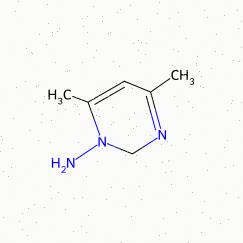 CC1=CC(C)=NCN1N